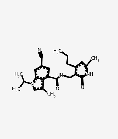 CCCc1cc(C)[nH]c(=O)c1CNC(=O)c1cc(C#N)cc2c1c(C)cn2C(C)C